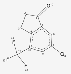 O=C1CCc2c1cc(Cl)cc2C(F)(F)F